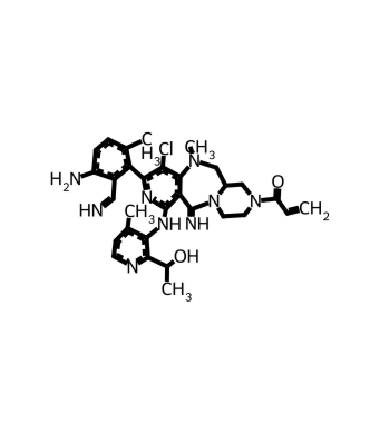 C=CC(=O)N1CCN2C(=N)c3c(Nc4c(C)ccnc4C(C)O)nc(-c4c(C)ccc(N)c4C=N)c(Cl)c3N(C)CC2C1